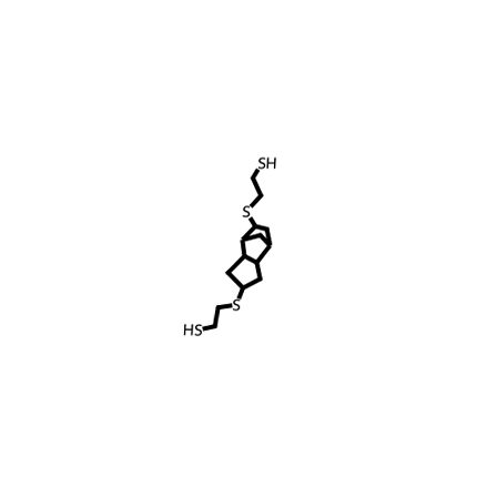 SCCSC1CC2C3CC(SCCS)C(C3)C2C1